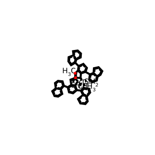 CCC1=Cc2c(-c3cccc4ccccc34)ccc(-c3cccc4ccccc34)c2[CH]1[Zr]([CH3])([CH3])(=[SiH2])[CH]1C(CC)=Cc2c(-c3cccc4ccccc34)ccc(-c3cccc4ccccc34)c21